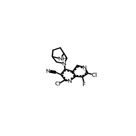 N#Cc1c(Cl)nc2c(F)c(Cl)ncc2c1N1CC2CCC(C1)N2